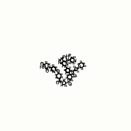 CC(C)n1cnc2cc(-c3ccc4c(c3)N(C3CC(N5CCCCC5)C3)C(=O)C43CCN(C(=O)[C@@H]4CCN(C(=O)C5CCC(Oc6ccc(N7CCC(=O)NC7=O)cn6)CC5)C4)CC3)nc(Nc3ccncc3F)c21